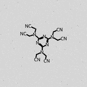 N#CCN(CC#N)c1nc(N(CC#N)CC#N)nc(N(CC#N)CC#N)n1